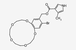 Cc1c[nH]cc1C(=O)OCc1cc2c(cc1Br)OCCOCCOCCOCCO2